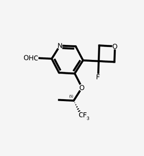 C[C@H](Oc1cc(C=O)ncc1C1(F)COC1)C(F)(F)F